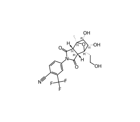 C[C@]12O[C@](CCO)([C@@H]3C(=O)N(c4ccc(C#N)c(C(F)(F)F)c4)C(=O)[C@@H]31)[C@@H](O)[C@H]2O